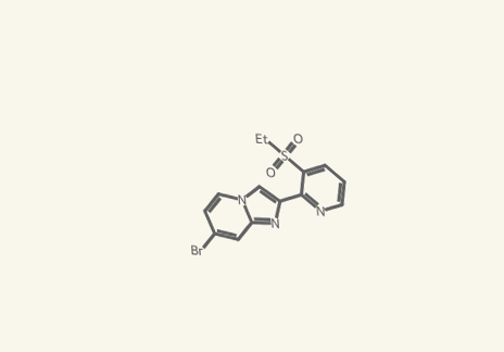 CCS(=O)(=O)c1cccnc1-c1cn2ccc(Br)cc2n1